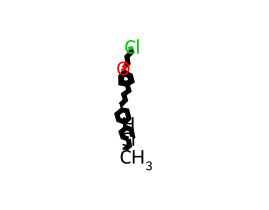 CCC[SiH]1CCC([C@H]2CC[C@H](CCCCc3ccc(OCCCCl)cc3)CC2)CC1